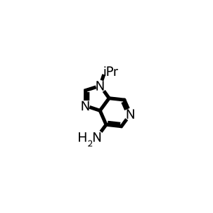 CC(C)N1C=NC2C(N)=CN=CC21